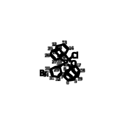 ClC(Oc1ccccc1)(c1ccccc1)[P+](c1ccccc1)(c1ccccc1)c1ccccc1.[Br-]